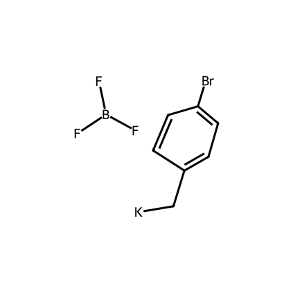 FB(F)F.[K][CH2]c1ccc(Br)cc1